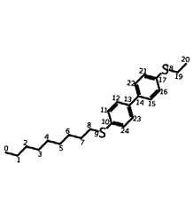 CCCCCCCCCSc1ccc(-c2ccc(SCC)cc2)cc1